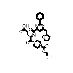 CCOC(=O)N1CCN(C(=O)[C@H](CCC(=O)O)NC(=O)c2cc(CC3CCCO3)nc(-c3ccccc3)n2)CC1